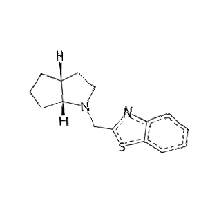 c1ccc2sc(CN3CC[C@H]4CCC[C@H]43)nc2c1